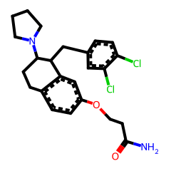 NC(=O)CCOc1ccc2c(c1)C(Cc1ccc(Cl)c(Cl)c1)C(N1CCCC1)CC2